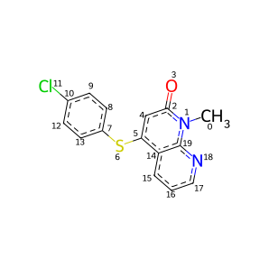 Cn1c(=O)cc(Sc2ccc(Cl)cc2)c2cccnc21